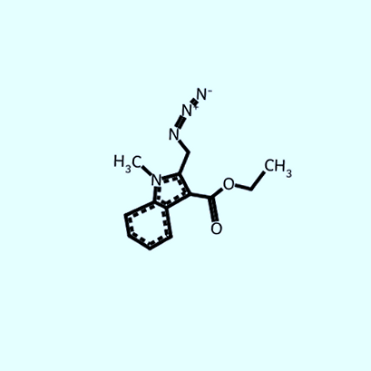 CCOC(=O)c1c(CN=[N+]=[N-])n(C)c2ccccc12